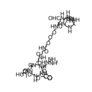 CN1C(=O)[C@@H](Cc2ccc(O)c(I)c2)NC(=O)CNC(=O)[C@H](Cc2ccc3ccccc3c2)NC(=O)[C@H](CCCNC(=N)N)NC(=O)[C@H]1CCCNC(=O)CCC(=O)NCCOCCOCCOCCNC(=O)CCC(C=O)NC12CNCCNCC(C)(CNCCNC1)CNCCNC2